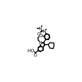 CN(C)C(=O)N(C)c1cccc2c1OCCn1c-2c(C2CCCCC2)c2ccc(C(=O)O)cc21